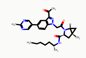 CCCCC[C@@H](C)NC(=O)[C@@H]1C[C@@]2(C)C[C@H]2N1C(=O)Cn1nc(C(C)=O)c2cc(-c3cnc(C)nc3)ccc21